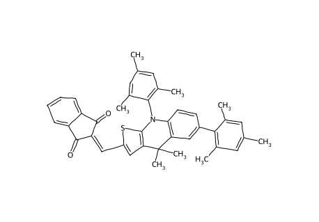 Cc1cc(C)c(-c2ccc3c(c2)C(C)(C)c2cc(C=C4C(=O)c5ccccc5C4=O)sc2N3c2c(C)cc(C)cc2C)c(C)c1